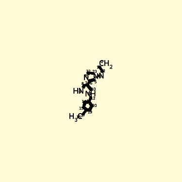 C=C/C=N\N1C=C(/C(C=N)=C/NCc2ccc(CC)cc2)N=CC1